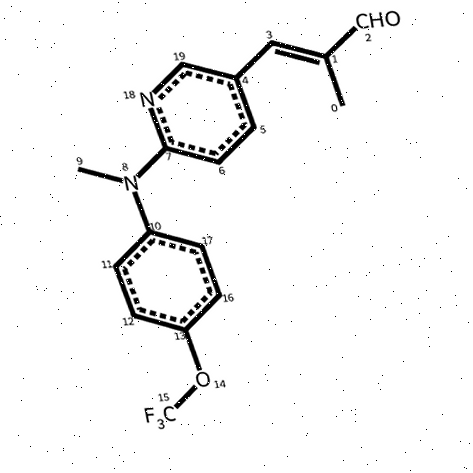 C/C(C=O)=C\c1ccc(N(C)c2ccc(OC(F)(F)F)cc2)nc1